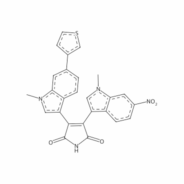 Cn1cc(C2=C(c3cn(C)c4cc([N+](=O)[O-])ccc34)C(=O)NC2=O)c2ccc(-c3ccsc3)cc21